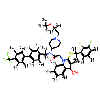 [2H]C1=C(SC([2H])([2H])c2c([2H])c([2H])c([2H])c(F)c2F)N(CC(=O)N(C2CCN(CC([2H])([2H])OC([2H])([2H])[2H])CC2)C([2H])([2H])c2c([2H])c([2H])c(-c3c([2H])c([2H])c(C(F)(F)F)c([2H])c3[2H])c([2H])c2[2H])c2c([2H])c([2H])c([2H])c([2H])c2C1O